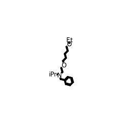 CCOCCCCCOCCN(Cc1ccccc1)C(C)C